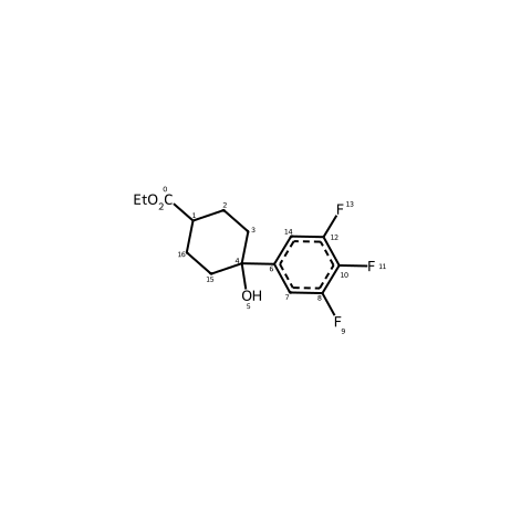 CCOC(=O)C1CCC(O)(c2cc(F)c(F)c(F)c2)CC1